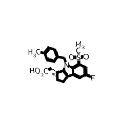 Cc1ccc(Cn2c3c(c4cc(F)cc(S(C)(=O)=O)c42)CC[C@@H]3CC(=O)O)cc1